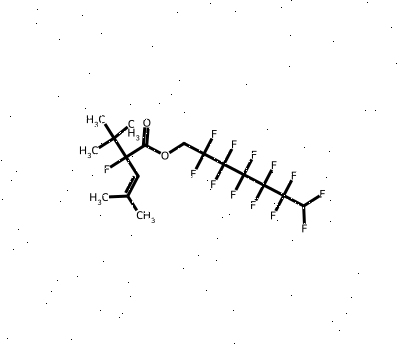 CC(C)=CC(F)(C(=O)OCC(F)(F)C(F)(F)C(F)(F)C(F)(F)C(F)(F)C(F)F)C(C)(C)C